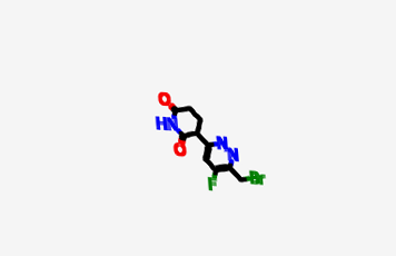 O=C1CCC(c2cc(F)c(CBr)nn2)C(=O)N1